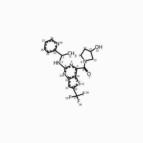 CC(Nc1nc(C(=O)N2CCC(O)C2)c2sc(C(F)(F)F)cc2n1)c1ccccn1